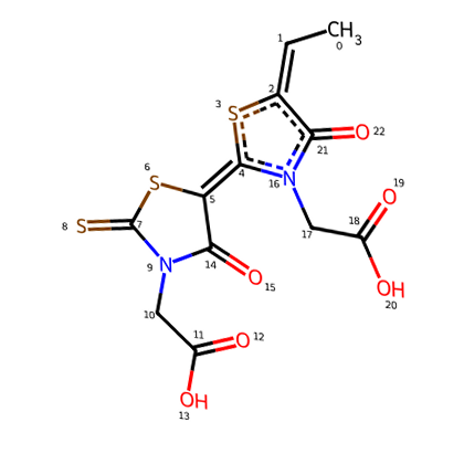 C/C=c1/s/c(=C2\SC(=S)N(CC(=O)O)C2=O)n(CC(=O)O)c1=O